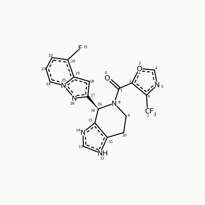 O=C(c1ocnc1C(F)(F)F)N1CCc2[nH]cnc2[C@H]1c1cc2c(F)cccn2n1